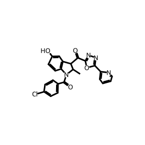 CC1C(C(=O)c2nnc(-c3ccccn3)o2)c2cc(O)ccc2N1C(=O)c1ccc(Cl)cc1